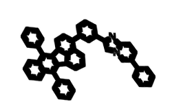 c1ccc(-c2ccc3nc(-c4cccc(-c5ccc6c7c(cccc57)-c5c-6c(-c6ccccc6)c6ccccc6c5-c5ccccc5)c4)cn3c2)cc1